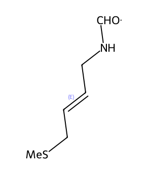 CSC/C=C/CN[C]=O